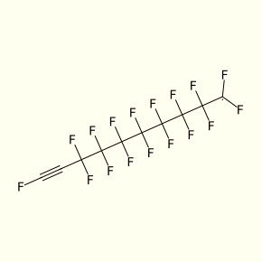 FC#CC(F)(F)C(F)(F)C(F)(F)C(F)(F)C(F)(F)C(F)(F)C(F)(F)[C](F)F